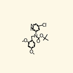 COc1ccc(CN(C(=O)OC(C)(C)C)c2cc(Cl)cnn2)c(OC)c1